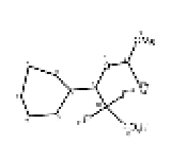 COC(OC(C1CCCCC1)C(F)(F)C(=O)O)C(C)C